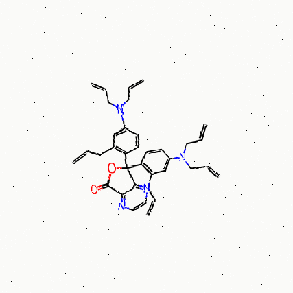 C=CCc1cc(N(CC=C)CC=C)ccc1C1(c2ccc(N(CC=C)CC=C)cc2CC=C)OC(=O)c2nccnc21